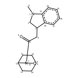 CN1CC(CC(=O)N2CC3CCC(CC3)C2)c2ccccc21